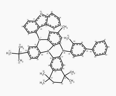 Cc1cc2c3c(c1)N(c1cccc4oc5ccccc5c14)c1cc(C(C)(C)C)ccc1B3c1cc3c(cc1N2c1ccc(-c2ccccc2)cc1C)C(C)(C)CCC3(C)C